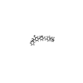 C=C(c1ccc(-c2ccc(CCC3CCN(CC(C)(C)F)CC3)nc2)cc1F)N1CCCCC1